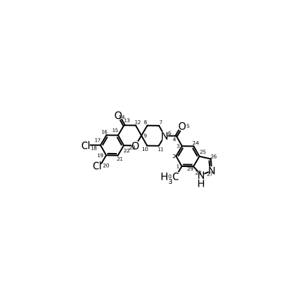 Cc1cc(C(=O)N2CCC3(CC2)CC(=O)c2cc(Cl)c(Cl)cc2O3)cc2cn[nH]c12